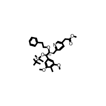 COC(=O)Cc1ccc(C[C@H](OCCc2ccccc2)[C@H](O[Si](C)(C)C(C)(C)C)c2cc(OC)c(C)c(OC)c2)nc1